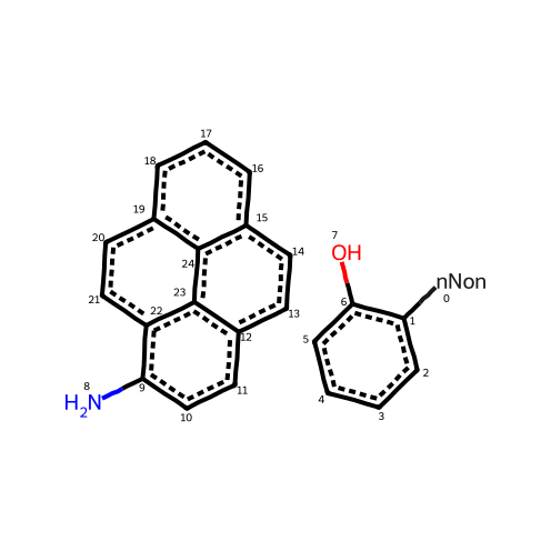 CCCCCCCCCc1ccccc1O.Nc1ccc2ccc3cccc4ccc1c2c34